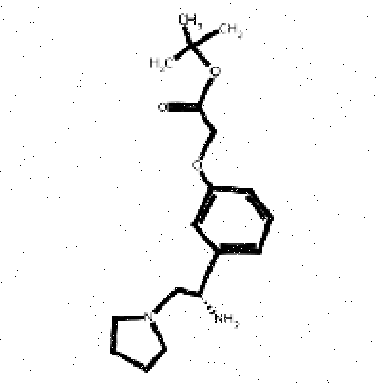 CC(C)(C)OC(=O)COc1cccc([C@H](N)CN2CCCC2)c1